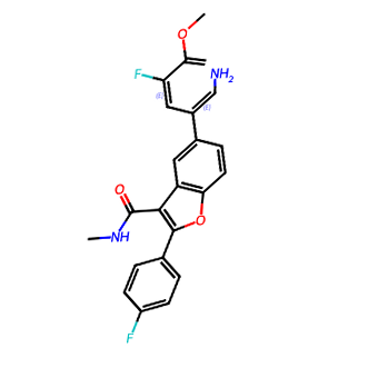 C=C(OC)/C(F)=C\C(=C/N)c1ccc2oc(-c3ccc(F)cc3)c(C(=O)NC)c2c1